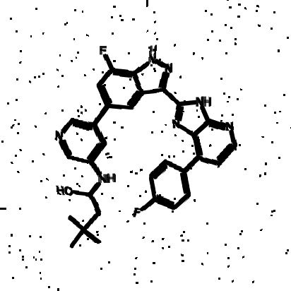 CC(C)(C)CC(O)Nc1cncc(-c2cc(F)c3[nH]nc(-c4nc5c(-c6ccc(F)cc6)ccnc5[nH]4)c3c2)c1